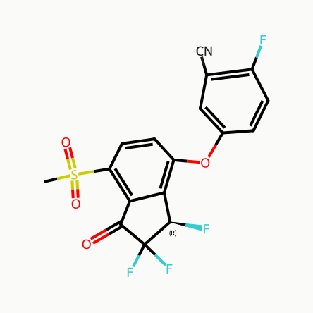 CS(=O)(=O)c1ccc(Oc2ccc(F)c(C#N)c2)c2c1C(=O)C(F)(F)[C@@H]2F